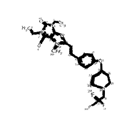 CCn1c(=O)c2c(nc(C=Cc3ccc(OC4CCN(CC(F)(F)F)CC4)cc3)n2C)n(CC)c1=O